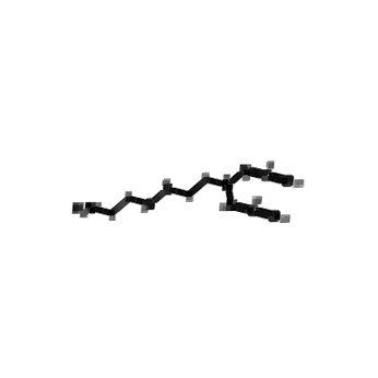 NCCSSCCN(N=C=O)N=C=O